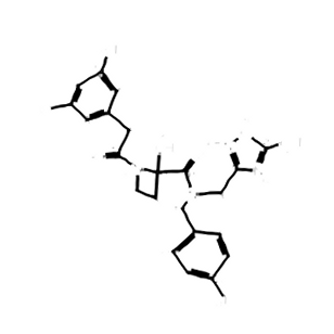 Cc1cc(C)cc(CC(=O)N2CCC2(C)C(=O)N(Cc2ccc(I)cc2)Cc2noc(O)n2)c1